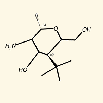 C[C@@H]1OC(CO)[C@@H](C(C)(C)C)C(O)C1N